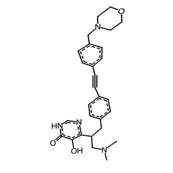 CN(C)CC(Cc1ccc(C#Cc2ccc(CN3CCOCC3)cc2)cc1)c1nc[nH]c(=O)c1O